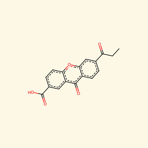 CCC(=O)c1ccc2c(=O)c3cc(C(=O)O)ccc3oc2c1